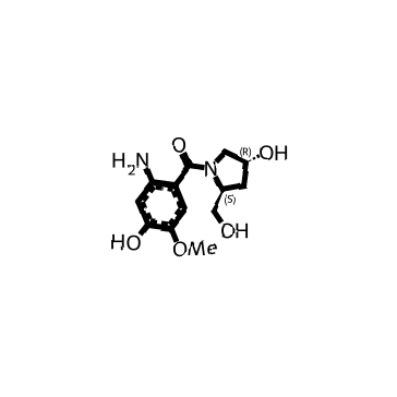 COc1cc(C(=O)N2C[C@H](O)C[C@H]2CO)c(N)cc1O